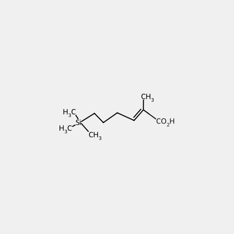 CC(=CCCC[Si](C)(C)C)C(=O)O